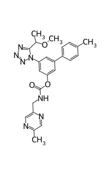 COC(C)c1nnnn1-c1cc(OC(=O)NCc2cnc(C)cn2)cc(-c2ccc(C)cc2)c1